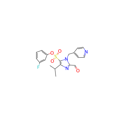 CC(C)c1nc(C=O)n(Cc2ccncc2)c1S(=O)(=O)Oc1cccc(F)c1